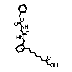 O=C(CO)CCCCCCC1C2CCC(O2)C1CNC(=O)CNC(=O)OCc1ccccc1